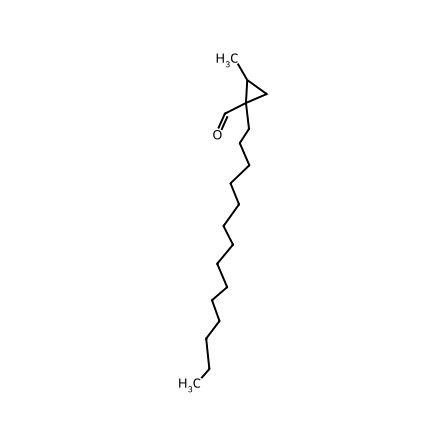 CCCCCCCCCCCCCCC1(C=O)CC1C